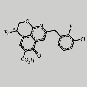 CC(C)[C@H]1COc2nc(Cc3cccc(Cl)c3F)cc3c(=O)c(C(=O)O)cn1c23